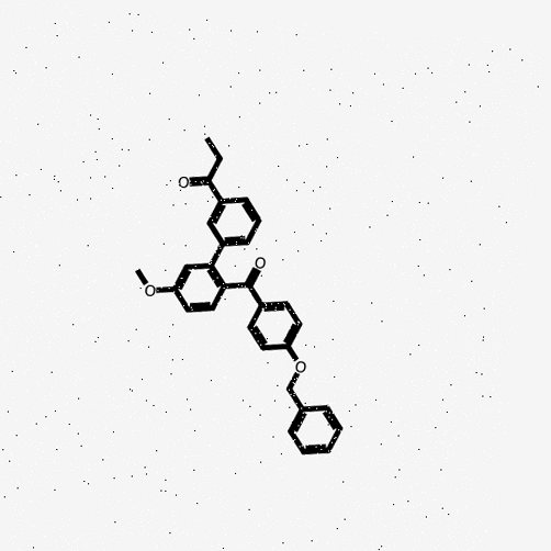 CCC(=O)c1cccc(-c2cc(OC)ccc2C(=O)c2ccc(OCc3ccccc3)cc2)c1